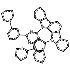 c1ccc(-c2ccc(-n3c4ccccc4c4ccc5c6ccccc6n(-c6nc(-c7ccccc7)nc(-c7cccc(-c8ccccc8)c7)n6)c5c43)cc2)cc1